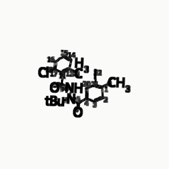 Cc1ccc(C(=O)N(NC(=O)c2c(C)cccc2Cl)C(C)(C)C)cc1I